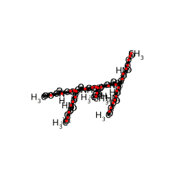 COCCOCCOCC(=O)NCCOCCOCC(COCCOCCNC(=O)COCCOCCOC)OCC(=O)NCCOCCOCC(COCCOCCNC(=O)COC(COCCOCCNC(=O)COCCOCCOC)COCCOCCNC(=O)COCCOCCOC)OCC(=O)OC(C)(C)C